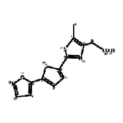 Cc1sc(-c2ccc(-c3ccno3)s2)nc1CC(=O)O